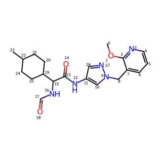 COc1ncccc1Cn1cc(NC(=O)C(NC=O)C2CCC(C)CC2)cn1